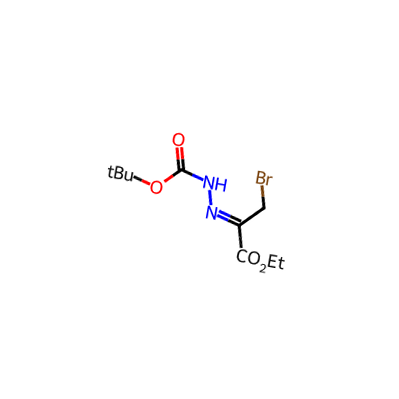 CCOC(=O)C(CBr)=NNC(=O)OC(C)(C)C